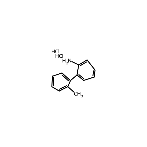 Cc1ccccc1-c1ccccc1N.Cl.Cl